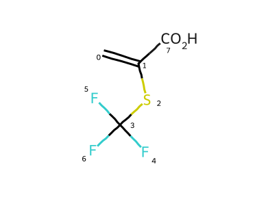 C=C(SC(F)(F)F)C(=O)O